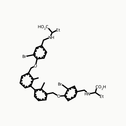 CCC(NCc1ccc(OCc2cccc(-c3cccc(COc4ccc(CNC(CC)C(=O)O)cc4Br)c3C)c2C)c(Br)c1)C(=O)O